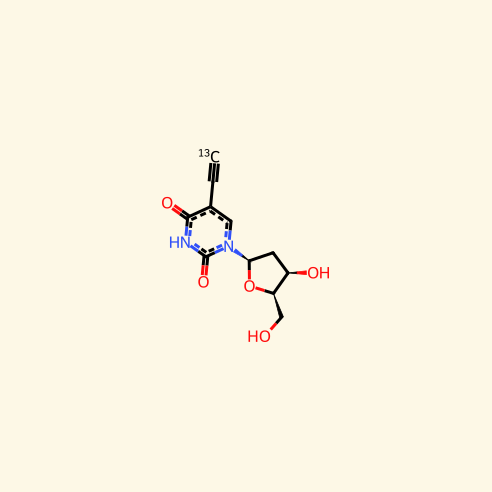 [13CH]#Cc1cn([C@H]2C[C@@H](O)[C@@H](CO)O2)c(=O)[nH]c1=O